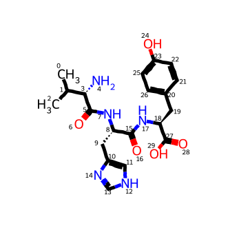 CC(C)[C@H](N)C(=O)N[C@@H](Cc1c[nH]cn1)C(=O)N[C@@H](Cc1ccc(O)cc1)C(=O)O